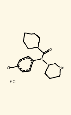 Cl.O=C(C1CCCCC1)N(c1ccc(Cl)cc1)[C@@H]1CCCNC1